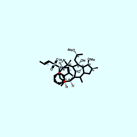 C/C=C/S(=O)(=O)Nc1ccccc1/C1=C\[C@H]2CC[C@H](C)[C@@H](O1)C1CC([C@@]2(C)N)[C@@](O)(C[C@@H](C)OC)[C@]2(O)C(C[C@H](C)[C@@H]2OC)C1C